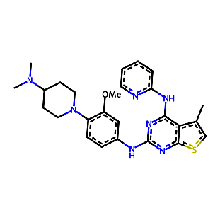 COc1cc(Nc2nc(Nc3ccccn3)c3c(C)csc3n2)ccc1N1CCC(N(C)C)CC1